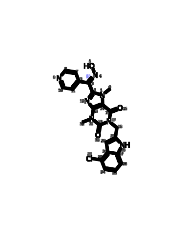 Cn1c(/C(=N/O)c2ccncc2)nc2c1c(=O)n(Cc1cc3c(Cl)cccc3[nH]1)c(=O)n2C